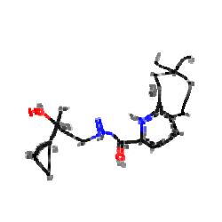 CC1(C)CCc2ccc(C(=O)NCC(C)(O)C3CC3)nc2C1